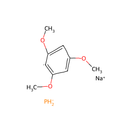 COc1[c]c(OC)cc(OC)c1.[Na+].[PH2-]